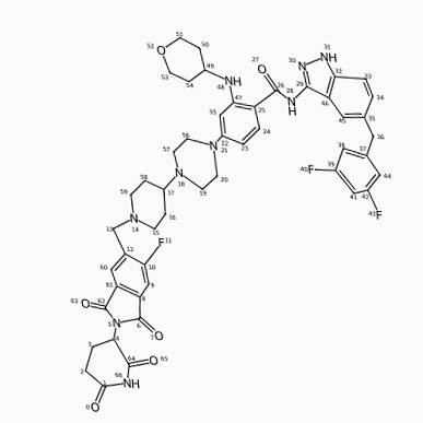 O=C1CCC(N2C(=O)c3cc(F)c(CN4CCC(N5CCN(c6ccc(C(=O)Nc7n[nH]c8ccc(Cc9cc(F)cc(F)c9)cc78)c(NC7CCOCC7)c6)CC5)CC4)cc3C2=O)C(=O)N1